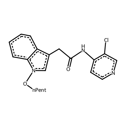 CCCCCOn1cc(CC(=O)Nc2ccncc2Cl)c2ccccc21